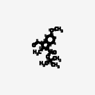 COc1ccc2c(c1)c(C=O)c(C)n2C(=O)OC(C)(C)C